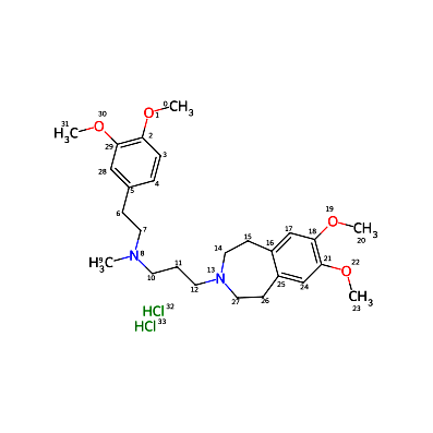 COc1ccc(CCN(C)CCCN2CCc3cc(OC)c(OC)cc3CC2)cc1OC.Cl.Cl